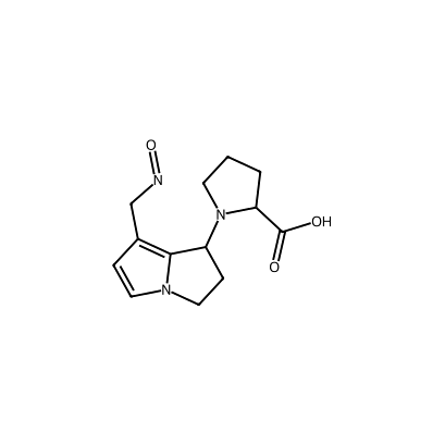 O=NCc1ccn2c1C(N1CCCC1C(=O)O)CC2